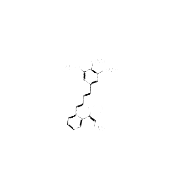 CO/C=C(/C(=O)O)c1ccccc1/C=C/C=C/c1cc(OC)c(OC)c(OC)c1